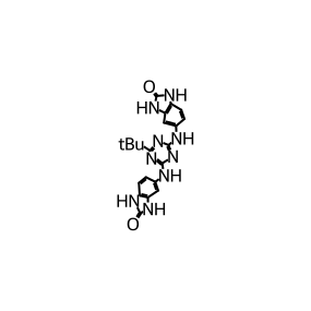 CC(C)(C)c1nc(Nc2ccc3[nH]c(=O)[nH]c3c2)nc(Nc2ccc3[nH]c(=O)[nH]c3c2)n1